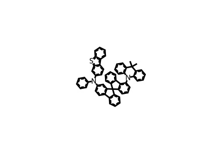 CC1(C)c2ccccc2N(c2cccc3c2-c2ccccc2C32c3ccccc3-c3ccc(N(c4ccccc4)c4ccc5c(c4)sc4ccccc45)cc32)c2ccccc21